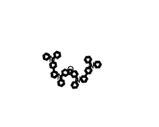 C1=C(N(c2ccccc2)c2cccc(-c3ccc(N(c4ccccc4)c4ccccc4)cc3)c2)CCc2oc3ccc(N(c4ccccc4)c4cccc(-c5ccc(N(c6ccccc6)c6ccccc6)cc5)c4)cc3c21